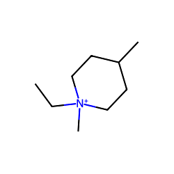 CC[N+]1(C)CCC(C)CC1